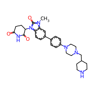 Cn1c(=O)n(C2CCC(=O)NC2=O)c2ccc(-c3ccc(N4CCN(CC5CCNCC5)CC4)cc3)cc21